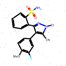 CCn1nc(-c2ccccc2S(N)(=O)=O)c(-c2ccc(OC)c(F)c2)c1C#N